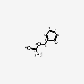 O=[C]([Pd])OCc1ccccc1